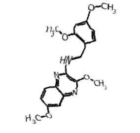 COc1ccc(CNc2nc3ccc(OC)cc3nc2OC)c(OC)c1